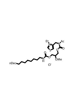 CCCCCCCCCCCCCCCCCCNC(=O)OCC(COC(=O)N(Cc1csc[n+]1CC)C(C)=O)OC.[Cl-]